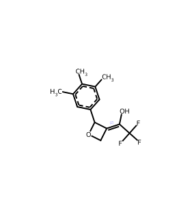 Cc1cc(C2OC/C2=C(/O)C(F)(F)F)cc(C)c1C